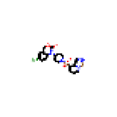 O=C1OCc2cc(Br)ccc2N1C1CCN(S(=O)(=O)C2=CC=CN3SNC=C23)CC1